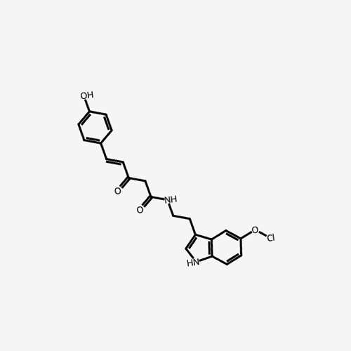 O=C(/C=C/c1ccc(O)cc1)CC(=O)NCCc1c[nH]c2ccc(OCl)cc12